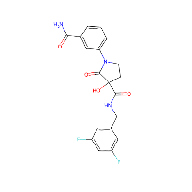 NC(=O)c1cccc(N2CCC(O)(C(=O)NCc3cc(F)cc(F)c3)C2=O)c1